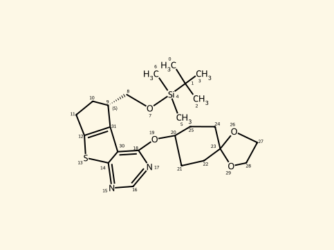 CC(C)(C)[Si](C)(C)OC[C@H]1CCc2sc3ncnc(OC4CCC5(CC4)OCCO5)c3c21